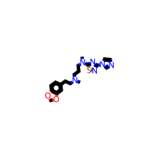 CN(CCCN(C)c1nc(-n2ccnc2)ns1)CCc1ccc2c(c1)OCO2